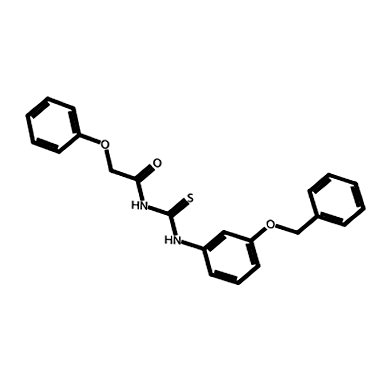 O=C(COc1ccccc1)NC(=S)Nc1cccc(OCc2ccccc2)c1